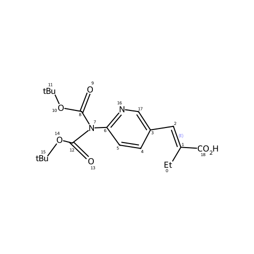 CC/C(=C\c1ccc(N(C(=O)OC(C)(C)C)C(=O)OC(C)(C)C)nc1)C(=O)O